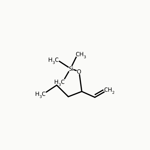 C=CC(CCC)O[Si](C)(C)C